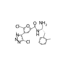 Cc1ccccc1C[C@@H](CN)NC(=O)c1cc(-c2c(Cl)nnn2C)c(Cl)o1